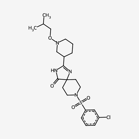 CC(C)CON1CCCC(C2=NC3(CCN(S(=O)(=O)c4cccc(Cl)c4)CC3)C(=O)N2)C1